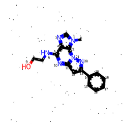 Cn1cnc2c(NCCO)nc3cc(-c4ccccc4)nn3c21